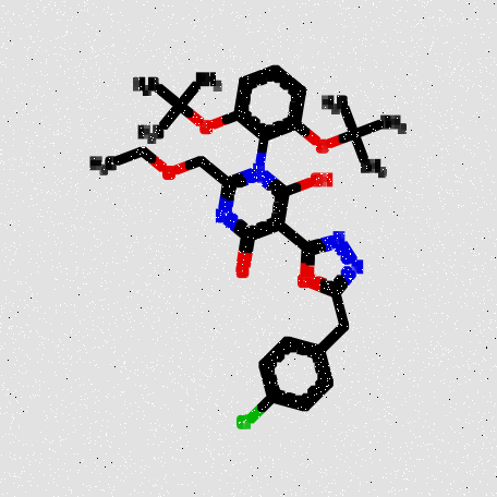 BC(B)(B)Oc1cccc(OC(B)(B)B)c1-n1c(COCC)nc(=O)c(-c2nnc(Cc3ccc(Cl)cc3)o2)c1O